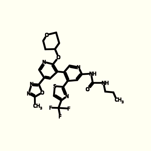 CCCNC(=O)Nc1cc(-c2nc(C(F)(F)F)cs2)c(-c2cc(-c3nnc(C)o3)cnc2OC2CCOCC2)cn1